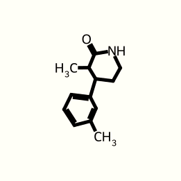 Cc1cccc(C2CCNC(=O)C2C)c1